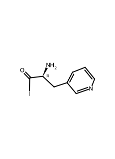 N[C@@H](Cc1cccnc1)C(=O)I